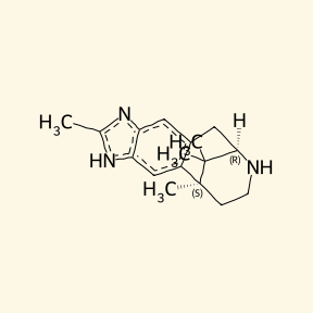 Cc1nc2cc3c(cc2[nH]1)[C@]1(C)CCN[C@H](C3)C1(C)C